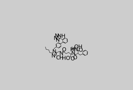 CCCCc1nc(Cl)c(CNC(=O)CCC(NC(=O)C(Cc2ccccc2)C(=O)NO)C(=O)O)n1Cc1ccc(-c2ccccc2-c2nnn[nH]2)cc1